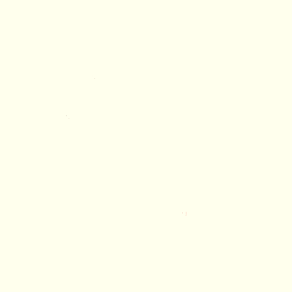 Cn1cc(-c2cccc(-n3c(CC4CNC4)cc4cc(C5CC5)cc(F)c4c3=O)c2CO)cc1C(N)=O